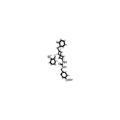 COc1ccc(CNC(=O)NC2CC3(CC(Cc4ccccc4C)C3)C2)cc1.Cc1ccccc1Br